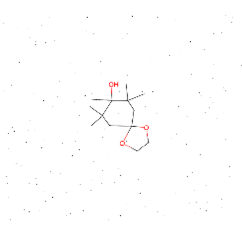 CC1(C)CC2(CC(C)(C)C1(C)O)OCCO2